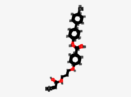 C=CC(=O)OCCCOc1ccc(C(=O)Oc2ccc(-c3ccc(C#N)cc3)cc2)cc1